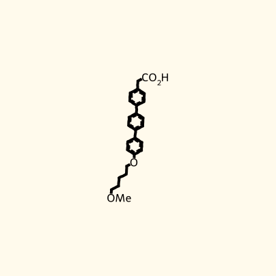 COCCCCCOc1ccc(-c2ccc(-c3ccc(CC(=O)O)cc3)cc2)cc1